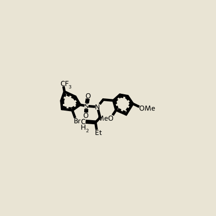 C=C(CC)CN(Cc1ccc(OC)cc1OC)S(=O)(=O)c1cc(C(F)(F)F)ccc1Br